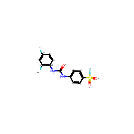 O=C(Nc1ccc(S(=O)(=O)F)cc1)Nc1ccc(F)cc1F